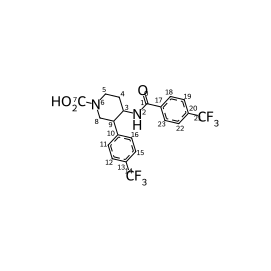 O=C(NC1CCN(C(=O)O)CC1c1ccc(C(F)(F)F)cc1)c1ccc(C(F)(F)F)cc1